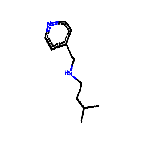 CC(C)CCNCc1ccncc1